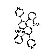 COc1ccccc1-c1c(-c2ccncc2)ccc2c(-c3ccccc3OC)c(-c3ccncc3)ccc12